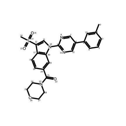 Cc1cccc(-c2cnc(-n3cc(S(C)(=O)=O)c4ccc(C(=O)N5CCOCC5)cc43)nc2)c1